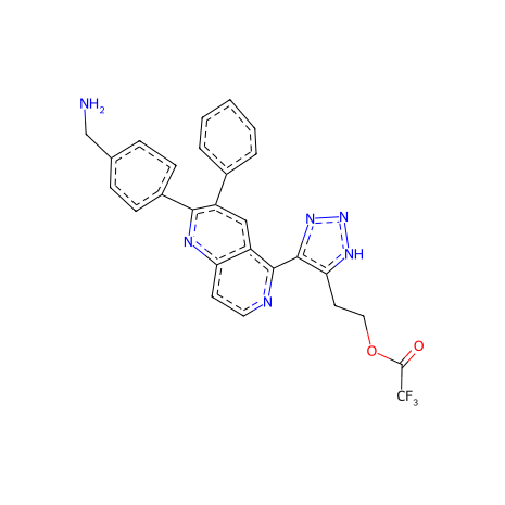 NCc1ccc(-c2nc3ccnc(-c4nn[nH]c4CCOC(=O)C(F)(F)F)c3cc2-c2ccccc2)cc1